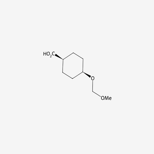 COCO[C@H]1CC[C@@H](C(=O)O)CC1